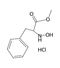 COC(=O)C(Cc1ccccc1)NO.Cl